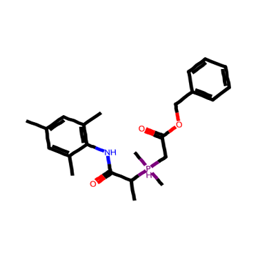 Cc1cc(C)c(NC(=O)C(C)[PH](C)(C)CC(=O)OCc2ccccc2)c(C)c1